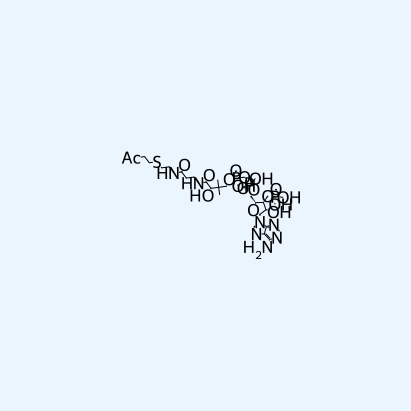 CC(=O)CCSCCNC(=O)CCNC(=O)[C@H](O)C(C)(C)COP(=O)(O)OP(=O)(O)OC[C@@H]1O[C@H](n2cnc3c(N)ncnc32)[C@H](O)[C@@H]1OP(=O)(O)O